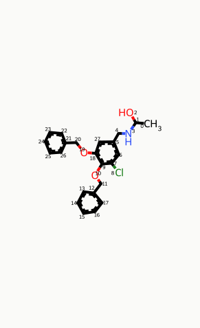 CC(O)NCc1cc(Cl)c(OCc2ccccc2)c(OCc2ccccc2)c1